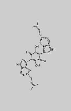 CC(C)=CCc1ccc2[nH]cc(C3=C(O)C(=O)C(c4c[nH]c5ccc(CC=C(C)C)cc45)=C(O)C3=O)c2c1